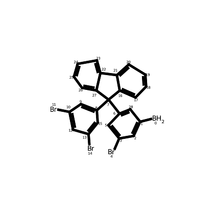 Bc1cc(Br)cc(C2(c3cc(Br)cc(Br)c3)c3ccccc3-c3ccccc32)c1